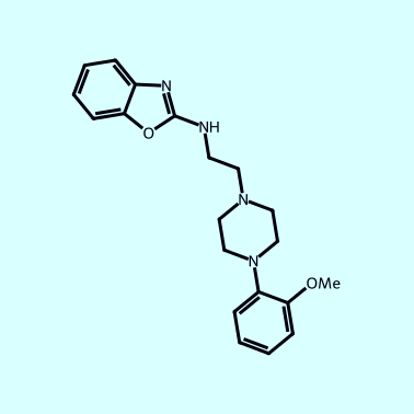 COc1ccccc1N1CCN(CCNc2nc3ccccc3o2)CC1